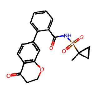 CC1(S(=O)(=O)NC(=O)c2ccccc2-c2ccc3c(c2)OCCC3=O)CC1